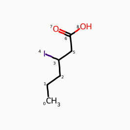 CCCC(I)CC(=O)O